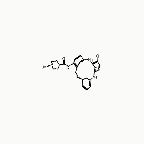 CC(=O)N1CCC(C(=O)Nc2ccc3cc2CCC2C=CC=C(C2)Nc2ncc(Cl)c(n2)N3)CC1